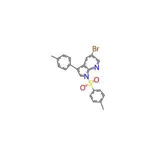 Cc1ccc(-c2cn(S(=O)(=O)c3ccc(C)cc3)c3ncc(Br)cc23)cc1